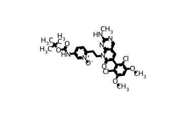 CNc1ncc2cc(-c3c(Cl)c(OC)cc(OC)c3Cl)c(=O)n(CCc3ccc(NC(=O)OC(C)(C)C)c[n+]3[O-])c2n1